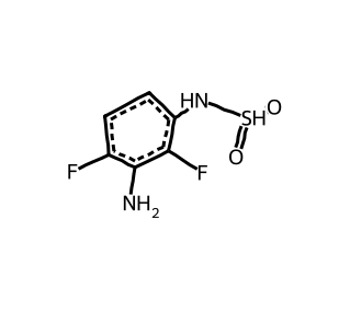 Nc1c(F)ccc(N[SH](=O)=O)c1F